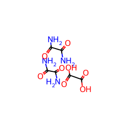 NC(=O)C(N)=O.NC(=O)C(N)=O.O=C(O)C(=O)O